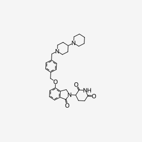 O=C1CCC(N2Cc3c(OCc4ccc(CN5CCC(N6CCCCC6)CC5)cc4)cccc3C2=O)C(=O)N1